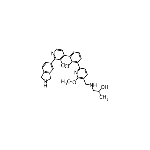 COc1nc(-c2cccc(-c3ccnc(-c4ccc5c(c4)CNC5)c3Cl)c2Cl)ccc1CNC[C@@H](C)O